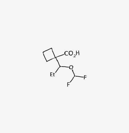 CCC(OC(F)F)C1(C(=O)O)CCC1